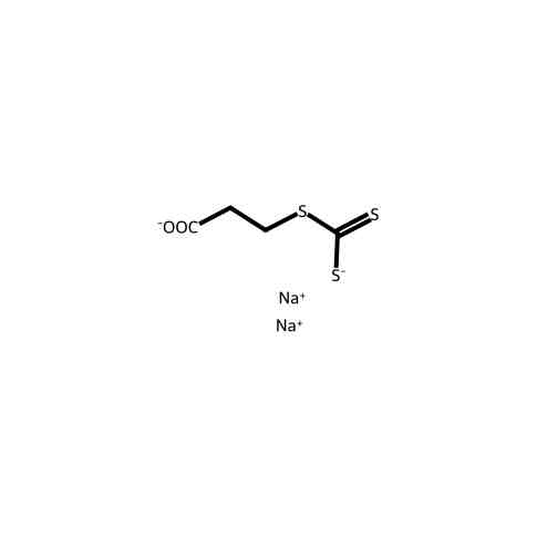 O=C([O-])CCSC(=S)[S-].[Na+].[Na+]